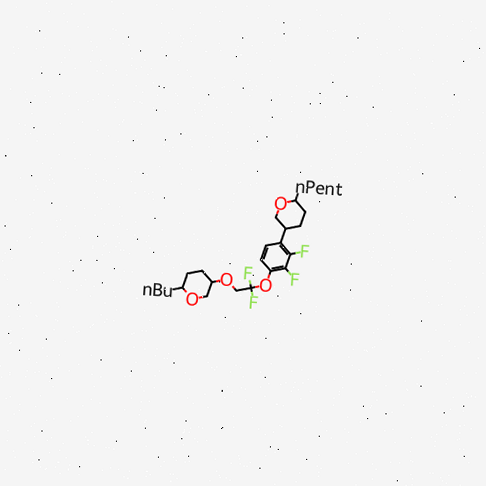 CCCCCC1CCC(c2ccc(OC(F)(F)COC3CCC(CCCC)OC3)c(F)c2F)CO1